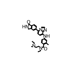 CCN(C)CCN(CC)C(=O)c1ccc(Nc2ccc(-c3ccc4c(c3)CNC4=O)n3ccnc23)cc1C